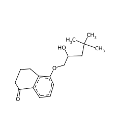 CC(C)(C)CC(O)COc1cccc2c1CCCC2=O